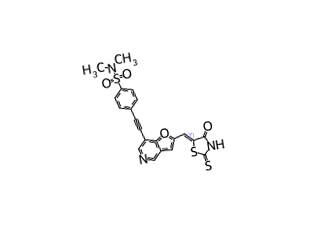 CN(C)S(=O)(=O)c1ccc(C#Cc2cncc3cc(/C=C4\SC(=S)NC4=O)oc23)cc1